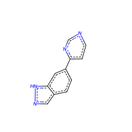 c1cc(-c2ccc3cn[nH]c3c2)ncn1